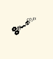 CCOC(=O)c1cn(CCCCO[Si](c2ccccc2)(c2ccccc2)C(C)(C)C)cn1